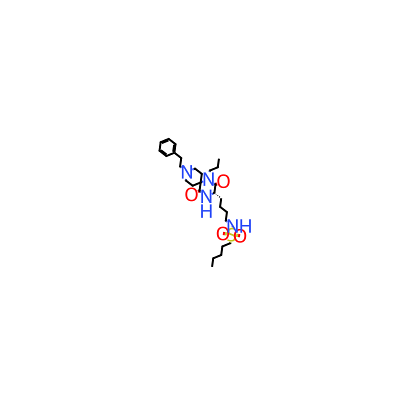 CCCCCS(=O)(=O)NCCCC[C@@H]1NC(=O)C2(CCN(CCc3ccccc3)CC2)N(CCC)C1=O